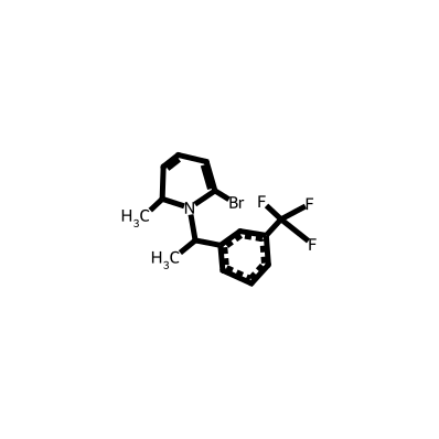 CC1C=CC=C(Br)N1C(C)c1cccc(C(F)(F)F)c1